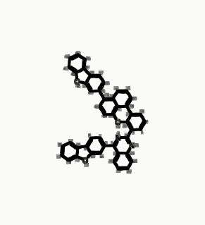 c1cc(-c2nc(-c3ccc4c(c3)oc3ccccc34)c3ccccc3n2)c2c(c1)-c1cccc3c(-c4ccc5c(c4)oc4ccccc45)ccc(c13)O2